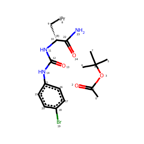 CC(=O)OC(C)(C)C.CC(C)C[C@@H](NC(=O)Nc1ccc(Br)cc1)C(N)=O